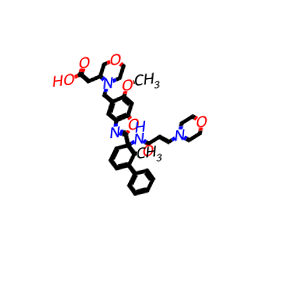 COc1cc2oc(C3(NC(=O)CCN4CCOCC4)C=CC=C(c4ccccc4)C3C)nc2cc1CN1CCOCC1CC(=O)O